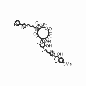 CC[C@H]1OC(=O)[C@H](C)C(=O)[C@H](C)[C@@H](O[C@@H]2O[C@H](C)C[C@H](N(C)CCc3cn([C@@H](CO)[C@@H](O)c4ccc(SC)cc4)nn3)[C@H]2O)[C@](C)(OC)C[C@@H](C)C(=O)[C@H](C)[C@@H]2N(CCCCn3cnc(-c4cccnc4)c3)C(=O)O[C@@]21C